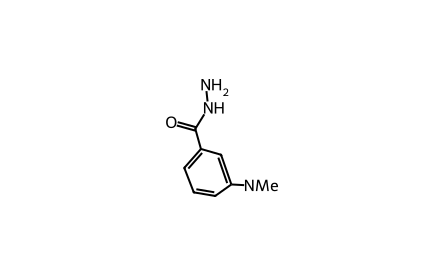 CNc1cccc(C(=O)NN)c1